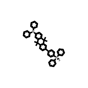 CC1(C)c2ccc(N(c3ccccc3)c3ccccc3)cc2C(C)(C)c2ccc(-c3ccc(P(=S)(c4ccccc4)c4ccccc4)cc3)cc21